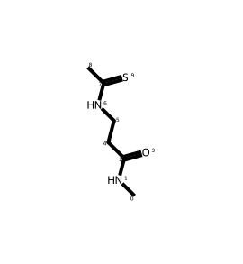 CNC(=O)CCNC(C)=S